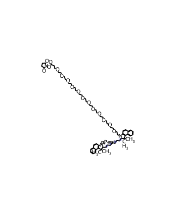 CCCCC[N+]1=C(/C=C/C=C/C=C/C=C2\N(CCOCCOCCOCCOCCOCCOCCOCCOCCOCCOCCOCCOCCC(=O)ON3C(=O)CCC3=O)c3ccc4ccccc4c3C2(C)C)C(C)(C)c2c1ccc1ccccc21